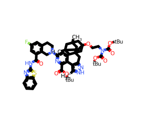 Cc1[nH]nc(CC23CC4(C)CC(C)(C2)CC(OCCN(C(=O)OC(C)(C)C)C(=O)OC(C)(C)C)(C4)C3)c1-c1ccc(N2CCc3cc(F)cc(C(=O)Nc4nc5ccccc5s4)c3C2)nc1C(=O)OC(C)(C)C